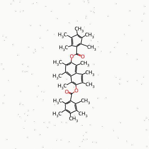 Cc1c(C)c(C)c(C(=O)Oc2c(C)c(C)c3c(C)c(OC(=O)c4c(C)c(C)c(C)c(C)c4C)c(C)c(C)c3c2C)c(C)c1C